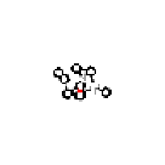 c1ccc(-c2nc(-c3ccccc3)nc(-c3cccc4c5ccccc5n(-c5ccc6oc7cccc(-c8ccc9ccccc9c8)c7c6c5)c34)n2)cc1